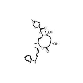 C/C(=C\C=C\[C@H](C)c1ccccn1)[C@H]1OC(=O)C[C@H](O)CC[C@@](C)(O)[C@@H](OC(=O)N2CCN(C)CC2)/C=C/[C@@H]1C